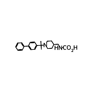 CC(C)(c1ccc(-c2ccccc2)cc1)N1CCC(CNC(=O)O)CC1